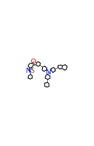 c1ccc(-c2ccc(N(c3ccc(-c4ccc5ccccc5c4)cc3)c3ccc(-c4ccc5oc6ccc7nc(-c8ccccc8)sc7c6c5c4)cc3)cc2)cc1